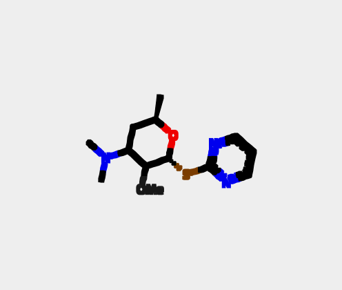 COC1C(N(C)C)C[C@@H](C)O[C@@H]1Sc1ncccn1